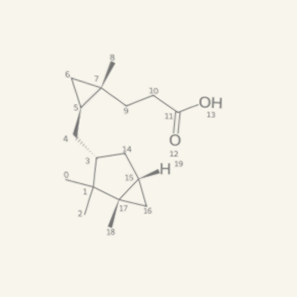 CC1(C)[C@H](C[C@H]2C[C@]2(C)CCC(=O)O)C[C@@H]2C[C@@]21C